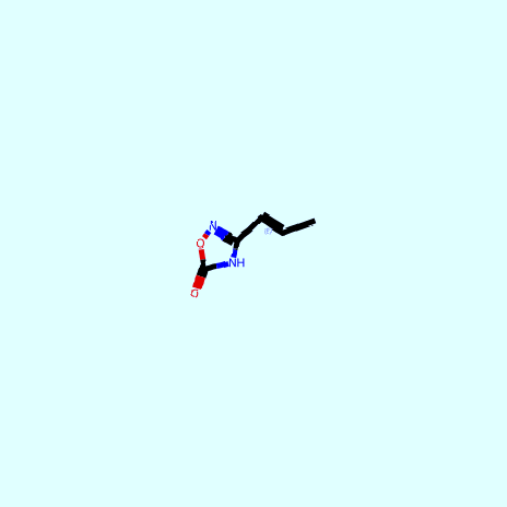 C/C=C/c1noc(=O)[nH]1